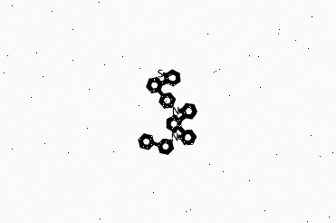 c1ccc(-c2cccc(-n3c4ccccc4c4c5c6ccccc6n(-c6ccc(-c7cccc8sc9ccccc9c78)cc6)c5ccc43)c2)cc1